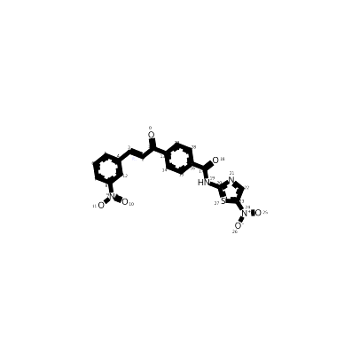 O=C(/C=C/c1cccc([N+](=O)[O-])c1)c1ccc(C(=O)Nc2ncc([N+](=O)[O-])s2)cc1